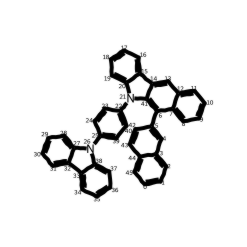 c1ccc2cc(-c3c4ccccc4cc4c5ccccc5n(-c5ccc(-n6c7ccccc7c7ccccc76)cc5)c34)ccc2c1